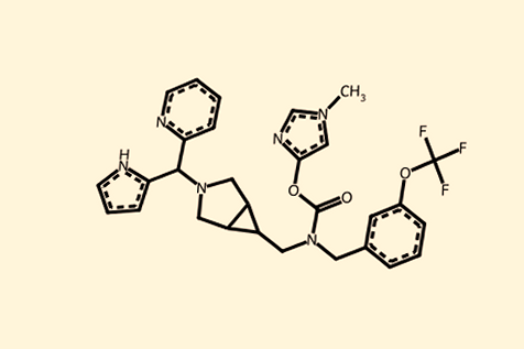 Cn1cnc(OC(=O)N(Cc2cccc(OC(F)(F)F)c2)CC2C3CN(C(c4ccccn4)c4ccc[nH]4)CC23)c1